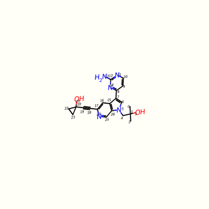 CC(C)(O)Cn1cc(-c2ccnc(N)n2)c2cc(C#CC3(O)CC3)ncc21